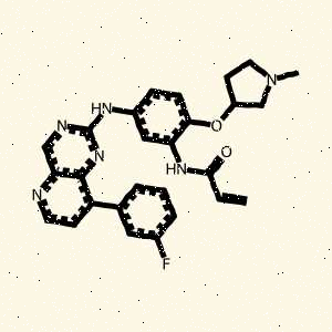 C=CC(=O)Nc1cc(Nc2ncc3nccc(-c4cccc(F)c4)c3n2)ccc1OC1CCN(C)C1